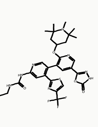 CCNC(=O)Nc1cc(-c2nc(C(F)(F)F)cs2)c(-c2cc(-c3n[nH]c(=O)o3)cnc2OC2CC(C)(C)N(C)C(C)(C)C2)cn1